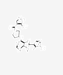 CCn1ncc(-c2nc3c(O[C@H]4CCN(C(=O)c5cnoc5C(C)C)C4)ncnc3n2C)c1C